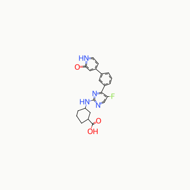 O=C(O)C1CCCC(Nc2ncc(F)c(-c3cccc(-c4cc[nH]c(=O)c4)c3)n2)C1